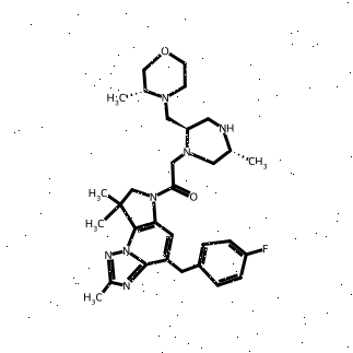 Cc1nc2c(Cc3ccc(F)cc3)cc3c(n2n1)C(C)(C)CN3C(=O)CN1C[C@@H](C)NC[C@@H]1CN1CCOC[C@H]1C